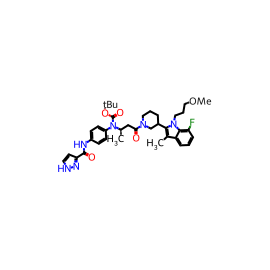 COCCCn1c(C2CCCN(C(=O)C[C@@H](C)N(C(=O)OC(C)(C)C)c3ccc(NC(=O)c4cc[nH]n4)cc3)C2)c(C)c2cccc(F)c21